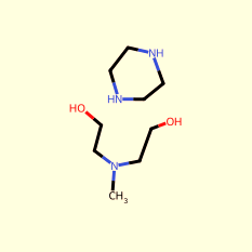 C1CNCCN1.CN(CCO)CCO